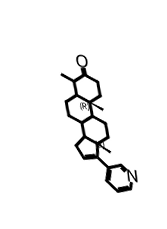 CC1C(=O)CC[C@@]2(C)C1CCC1C2CC[C@]2(C)C(c3cccnc3)=CCC12